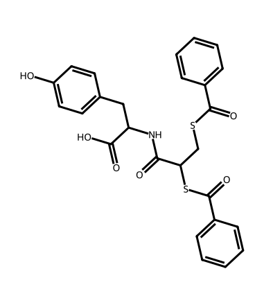 O=C(SCC(SC(=O)c1ccccc1)C(=O)NC(Cc1ccc(O)cc1)C(=O)O)c1ccccc1